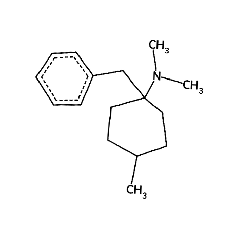 CC1CCC(Cc2ccccc2)(N(C)C)CC1